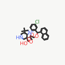 CC(=O)[C@@]1(C(=O)O)CNCC[C@H]1[N+]1(CC(C)(C)C)C(=O)COC(c2cccc3ccccc23)c2cc(Cl)ccc21